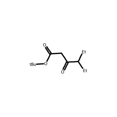 CCC(CC)C(=O)CC(=O)OC(C)(C)C